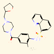 COc1cc(C(=O)N2CCN(CC3CCCO3)CC2)ccc1NS(=O)(=O)c1cccc2cccnc12